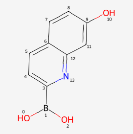 OB(O)c1ccc2ccc(O)cc2n1